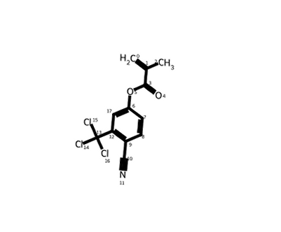 C=C(C)C(=O)Oc1ccc(C#N)c(C(Cl)(Cl)Cl)c1